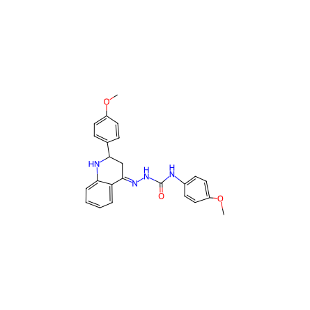 COc1ccc(NC(=O)NN=C2CC(c3ccc(OC)cc3)Nc3ccccc32)cc1